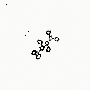 c1ccc(-c2cc(-c3ccc(-c4ccc(-n5c6ccccc6c6ccccc65)cc4-c4ccccc4)c(-c4ccccc4)c3)nc(-c3ccccc3)n2)cc1